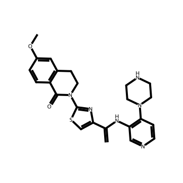 C=C(Nc1cnccc1N1CCNCC1)c1csc(N2CCc3cc(OC)ccc3C2=O)n1